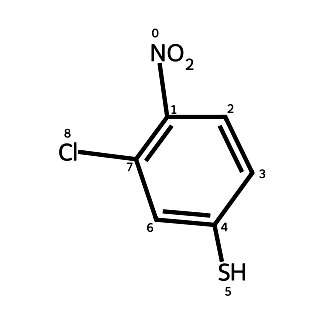 O=[N+]([O-])c1ccc(S)cc1Cl